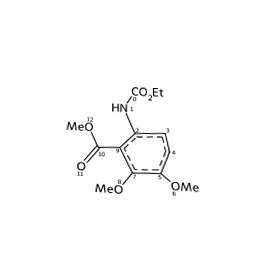 CCOC(=O)Nc1ccc(OC)c(OC)c1C(=O)OC